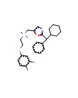 C[N+](C)(CCOc1ccc(Cl)c(Cl)c1)Cc1cnc([C@](O)(c2ccccc2)C2CCCCC2)o1